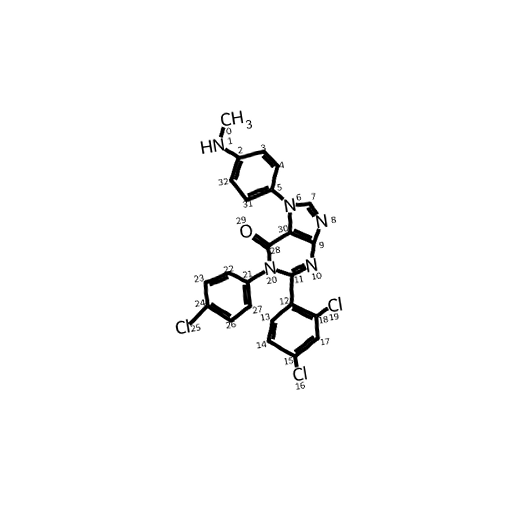 CNc1ccc(-n2cnc3nc(-c4ccc(Cl)cc4Cl)n(-c4ccc(Cl)cc4)c(=O)c32)cc1